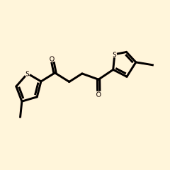 Cc1csc(C(=O)CCC(=O)c2cc(C)cs2)c1